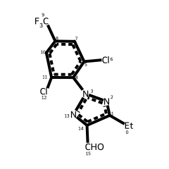 CCc1nn(-c2c(Cl)cc(C(F)(F)F)cc2Cl)nc1C=O